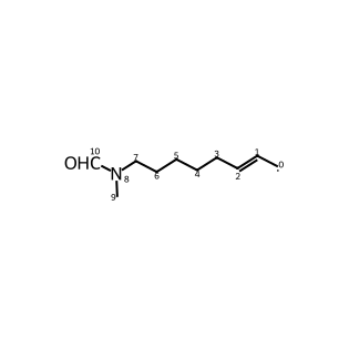 [CH2]C=CCCCCCN(C)C=O